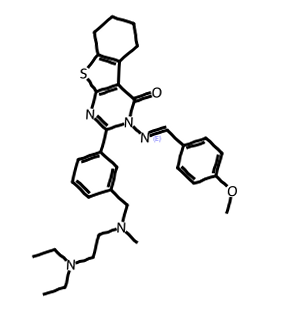 CCN(CC)CCN(C)Cc1cccc(-c2nc3sc4c(c3c(=O)n2/N=C/c2ccc(OC)cc2)CCCC4)c1